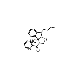 CCCCC1c2ccccc2C2(O)C(C(=O)c3ccccn3)COC12